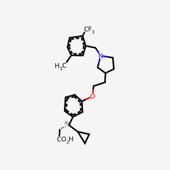 Cc1ccc(C(F)(F)F)c(CN2CCC(CCOc3cccc([C@@H](CC(=O)O)C4CC4)c3)C2)c1